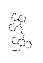 CCCOc1c2ccccc2c(OCOc2c3ccccc3c(OCCC)c3ccccc23)c2ccccc12